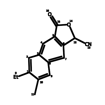 CCc1cc2cc3c(cc2cc1C)C(C#N)OC3=O